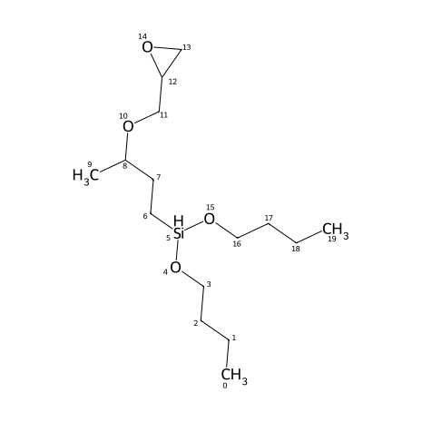 CCCCO[SiH](CCC(C)OCC1CO1)OCCCC